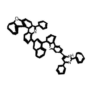 C1=C(c2ccc3c(c2)sc2c(-c4cc(-c5cccc6c5nc(-c5ccccc5)c5ccc7oc8ccccc8c7c56)cc5ccccc45)cccc23)NC(c2ccccc2)N=C1c1ccccc1